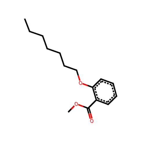 CCCCCCCOc1ccccc1C(=O)OC